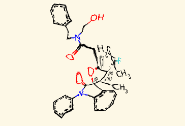 C[C@@H]1[C@@H]([Si](C)(C)F)[C@H](CC(=O)N(CCO)Cc2ccccc2)O[C@@]12C(=O)N(c1ccccc1)c1ccccc12